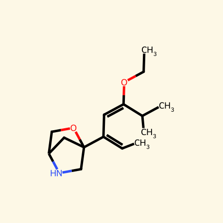 C/C=C(\C=C(\OCC)C(C)C)C12CNC(CO1)C2